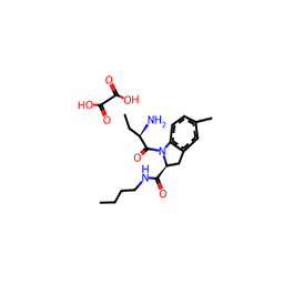 CCCCNC(=O)[C@@H]1Cc2cc(C)ccc2N1C(=O)[C@H](N)CC.O=C(O)C(=O)O